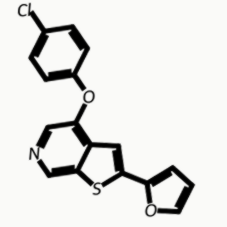 Clc1ccc(Oc2cncc3sc(-c4ccco4)cc23)cc1